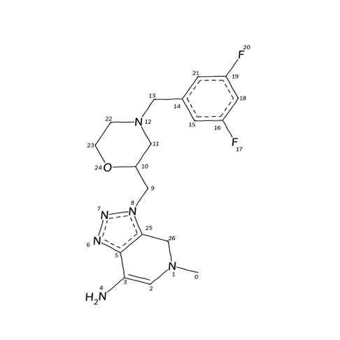 CN1C=C(N)c2nnn(CC3CN(Cc4cc(F)cc(F)c4)CCO3)c2C1